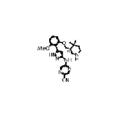 COc1cccc(OC[C@@H]2CNCCC2(C)C)c1-c1cc(Nc2cnc(C#N)cn2)n[nH]1